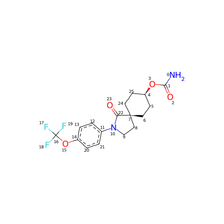 NC(=O)O[C@H]1CC[C@]2(CCN(c3ccc(OC(F)(F)F)cc3)C2=O)CC1